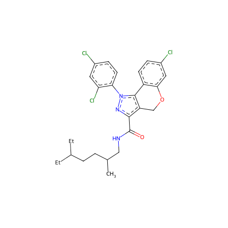 CCC(CC)CCC(C)CNC(=O)c1nn(-c2ccc(Cl)cc2Cl)c2c1COc1cc(Cl)ccc1-2